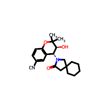 [C-]#[N+]c1ccc2c(c1)[C@@H](N1CC3(CCCCC3)CC1=O)[C@H](O)C(C)(C)O2